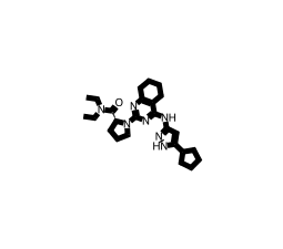 CCN(CC)C(=O)[C@H]1CCCN1c1nc2c(c(Nc3cc(C4CCCC4)[nH]n3)n1)CCCC2